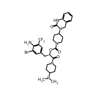 CN(C)C1CCN(C(=O)[C@@H](Cc2cc(Br)c(N)c(C(F)(F)F)c2)OC(=O)N2CCC(N3Cc4ccccc4NC3=O)CC2)CC1